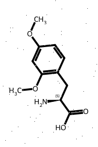 COc1ccc(C[C@H](N)C(=O)O)c(OC)c1